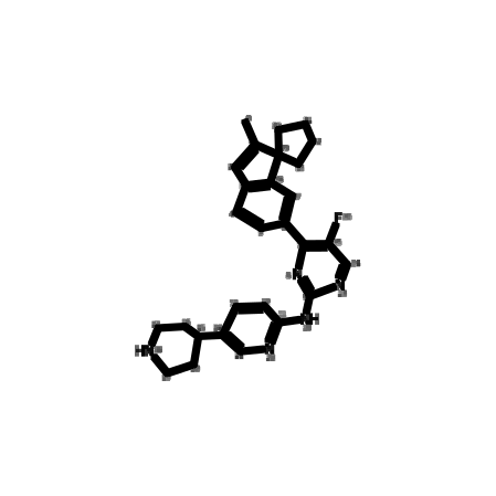 CC1=Cc2ccc(-c3nc(Nc4ccc(C5CCNCC5)cn4)ncc3F)cc2C12CCCC2